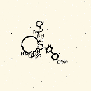 CCOC(=O)[C@@]12C[C@H]1/C=C\CCCCC[C@H](NC(=O)OC1CCCC1)C(=O)N1C[C@H](n3ncc(-c4ccc(OC)cc4)n3)C[C@H]1C(=O)N2